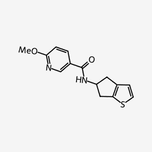 COc1ccc(C(=O)NC2Cc3ccsc3C2)cn1